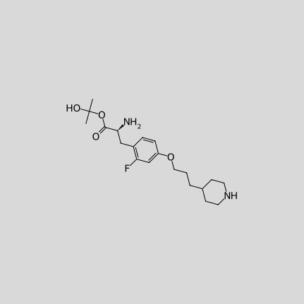 CC(C)(O)OC(=O)[C@@H](N)Cc1ccc(OCCCC2CCNCC2)cc1F